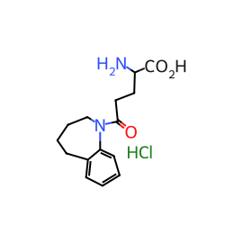 Cl.NC(CCC(=O)N1CCCCc2ccccc21)C(=O)O